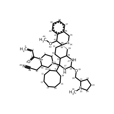 C=CC(=O)N1CCN(C2(C3CCCCCCC3)NC(OCC3CCCN3C)NC3C[C@@]4(CCC32)SCc2ccccc2C4OC)CC1CC#N